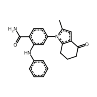 Cc1cc2c(n1-c1ccc(C(N)=O)c(Nc3ccccc3)c1)CCCC2=O